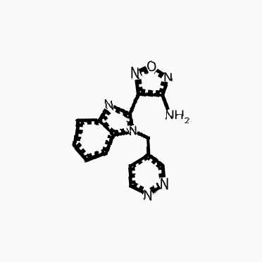 Nc1nonc1-c1nc2ccccc2n1Cc1ccnnc1